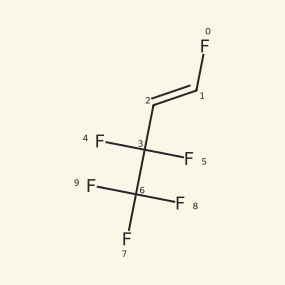 F/C=C/C(F)(F)C(F)(F)F